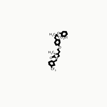 CCOC(=O)C(C)(Cc1ccc(OCCC2CN(Cc3cccc(C(F)(F)F)c3)C(=O)N2C)cc1)Oc1ccccc1